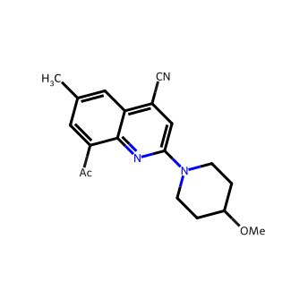 COC1CCN(c2cc(C#N)c3cc(C)cc(C(C)=O)c3n2)CC1